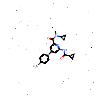 CN(C(=O)c1cc(-c2ccc(C(F)(F)F)cc2)cc(NC(=O)C2CC2)n1)C1CC1